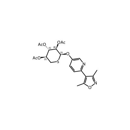 CC(=O)O[C@@H]1[C@@H](OC(C)=O)[C@@H](Oc2ccc(-c3c(C)noc3C)nc2)SC[C@H]1OC(C)=O